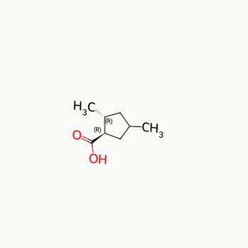 CC1C[C@@H](C)[C@H](C(=O)O)C1